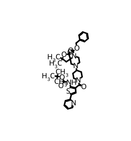 CC(C)(C)OC(=O)Nc1sc(-c2ccccn2)cc1C(=O)N1CCC(N2CCN(C(=O)OCc3ccccc3)C3(C2)CC(C)(C)OC3=O)CC1